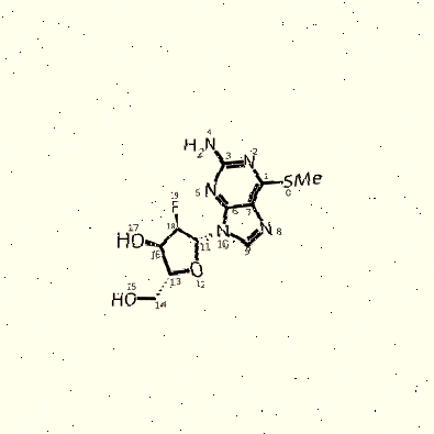 CSc1nc(N)nc2c1ncn2[C@@H]1O[C@H](CO)[C@@H](O)[C@H]1F